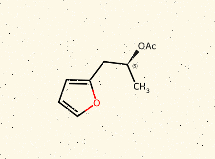 CC(=O)O[C@@H](C)Cc1ccco1